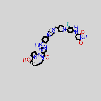 CC1(O)CC/C=C\Cn2c(=O)c3cnc(Nc4ccc(N5CCN(CC6CCN(c7ccc(NC8CCC(=O)NC8=O)cc7F)CC6)CC5)cc4)nc3n2-c2cccc1n2